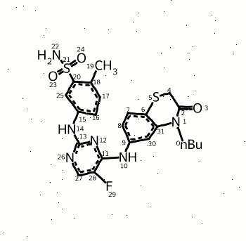 CCCCN1C(=O)CSc2ccc(Nc3nc(Nc4ccc(C)c(S(N)(=O)=O)c4)ncc3F)cc21